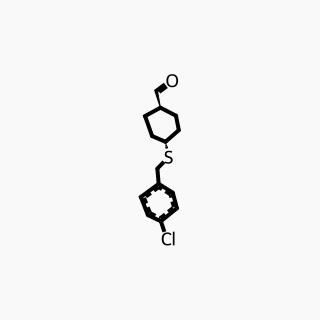 O=C[C@H]1CC[C@H](SCc2ccc(Cl)cc2)CC1